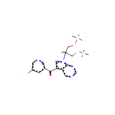 CC(CO[Si](C)(C)C(C)(C)C)(CO[Si](C)(C)C(C)(C)C)n1cc(C(=O)c2cncc(N)c2)c2cncnc21